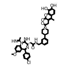 COc1ccc2c(c1)C(c1ccc(Cl)cc1)=N[C@@H](CC(=O)NCc1cccc(C3CCN(C(=O)Cc4c(C)c5ccc(O)c(O)c5oc4=O)CC3)c1)C(=N)N2C(C)=N